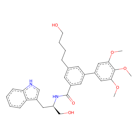 COc1cc(-c2cc(CCCCO)cc(C(=O)N[C@@H](CO)Cc3c[nH]c4ccccc34)c2)cc(OC)c1OC